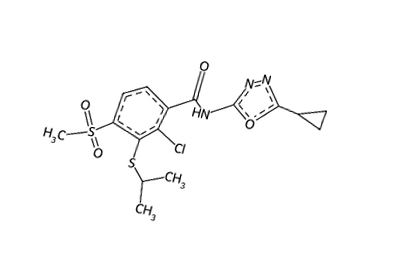 CC(C)Sc1c(S(C)(=O)=O)ccc(C(=O)Nc2nnc(C3CC3)o2)c1Cl